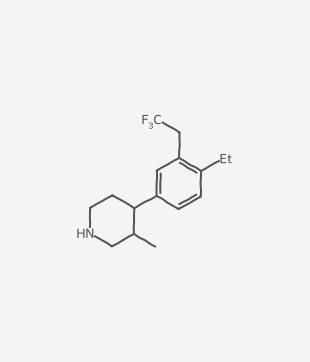 CCc1ccc(C2CCNCC2C)cc1CC(F)(F)F